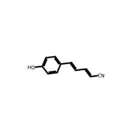 N#CC=CC=Cc1ccc(O)cc1